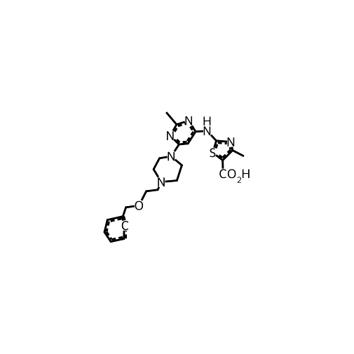 Cc1nc(Nc2nc(C)c(C(=O)O)s2)cc(N2CCN(CCOCc3ccccc3)CC2)n1